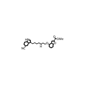 COC(=O)c1cc2c(OCCNCCCCc3c[nH]c4ccc(C#N)cc34)cccc2o1